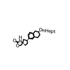 CCCCCCCOC1CCc2cc([C@H]3CC[C@]4(COC(=O)N4)C3)ccc2C1